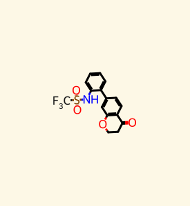 O=C1CCOc2cc(-c3ccccc3NS(=O)(=O)C(F)(F)F)ccc21